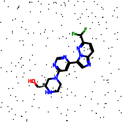 OC[C@@H]1CN(c2cc(-c3cnc4ccc(C(F)F)nn34)ncn2)CCN1